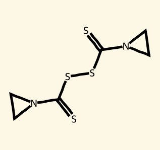 S=C(SSC(=S)N1CC1)N1CC1